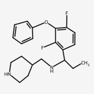 CCC(NCC1CCNCC1)c1ccc(F)c(Oc2ccccc2)c1F